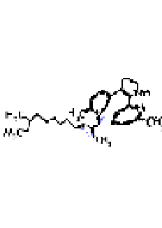 C=c1ccc(C2=C(c3cccc(C)n3)NC=CC2)c/c1=C/C(=C\C)/C=C/CCCCCC(C)CC